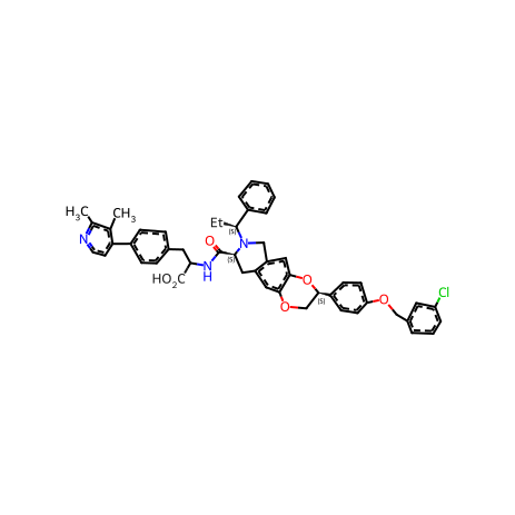 CC[C@@H](c1ccccc1)N1Cc2cc3c(cc2C[C@H]1C(=O)NC(Cc1ccc(-c2ccnc(C)c2C)cc1)C(=O)O)OC[C@H](c1ccc(OCc2cccc(Cl)c2)cc1)O3